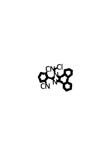 N#Cc1cccc(C#N)c1-c1nc2c3ccccc3c3ccccc3c2n1CCl